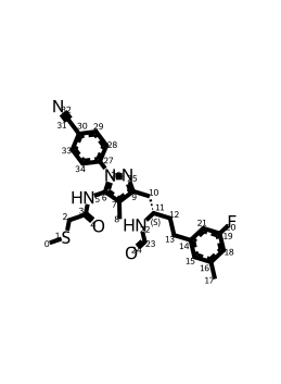 CSCC(=O)Nc1c(C)c(C[C@H](CCc2cc(C)cc(F)c2)NC=O)nn1-c1ccc(C#N)cc1